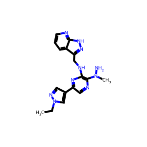 CCn1cc(-c2cnc(N(C)N)c(NCc3n[nH]c4ncccc34)n2)cn1